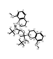 COc1cccc2c1O[C@@H](C(C)(OC(C)([C@H]1CCc3cccc(OC)c3O1)[SiH](C)C(C)(C)C)[SiH](C)C(C)(C)C)CC2